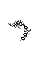 C[C@H]1CN(Cc2ccc(NS(=O)(=O)c3ccc(-c4ccc(F)cc4)nc3)cc2)CCN1C(=O)OC(C)(C)C